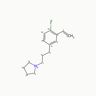 C=Cc1cc(CCCN2CCCC2)ccc1F